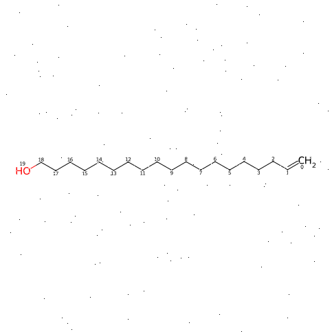 C=CCCCCCCCCCCCCCCCCCO